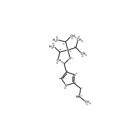 CNCc1nc(CO[Si](C(C)C)(C(C)C)C(C)C)cs1